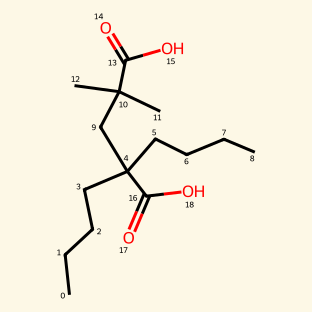 CCCCC(CCCC)(CC(C)(C)C(=O)O)C(=O)O